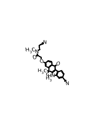 CN(CCC#N)C(=O)COc1ccc2c(c1)C(C)(C)c1[nH]c3cc(C#N)ccc3c1C2=O